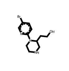 OCCC1CNCCN1c1ccc(Br)cn1